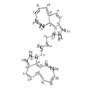 C1=CN=Nc2c3c(ccc2=C1)=NNN3CSSCN1NN=c2ccc3c(c21)N=NC=CC=3